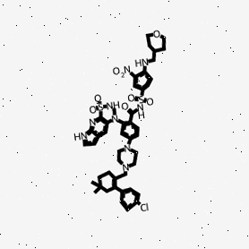 CC1(C)CCC(CN2CCN(c3ccc(C(=O)NS(=O)(=O)c4ccc(NCC5CCOCC5)c([N+](=O)[O-])c4)c(N4CNS(=O)(=O)c5nc6[nH]ccc6cc54)c3)CC2)=C(c2ccc(Cl)cc2)C1